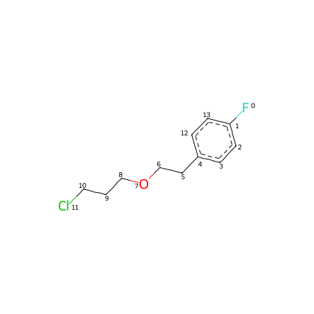 Fc1ccc(CCOCCCCl)cc1